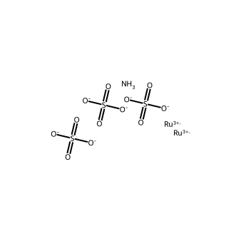 N.O=S(=O)([O-])[O-].O=S(=O)([O-])[O-].O=S(=O)([O-])[O-].[Ru+3].[Ru+3]